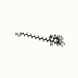 CCCCCCCCCCCCCCCC(=O)NC1CC(C)(C)NC(C)(C)C1